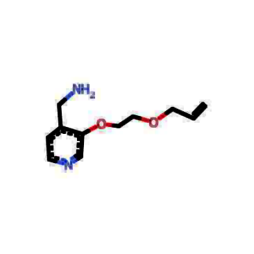 C=CCOCCOc1cnccc1CN